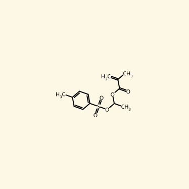 C=C(C)C(=O)OC(C)OS(=O)(=O)c1ccc(C)cc1